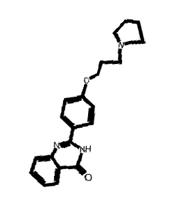 O=c1[nH]c(-c2ccc(OCCCN3CCCC3)cc2)nc2ccccc12